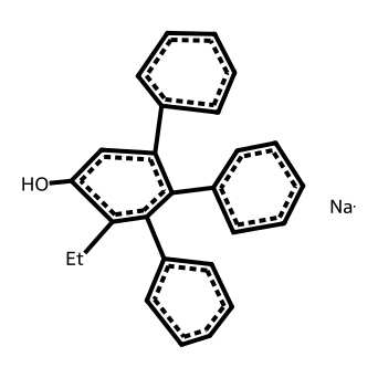 CCc1c(O)cc(-c2ccccc2)c(-c2ccccc2)c1-c1ccccc1.[Na]